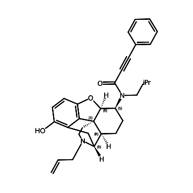 C=CCN1CC[C@@]23c4c5ccc(O)c4C[C@@H]1[C@@H]2CC[C@H](N(CC(C)C)C(=O)C#Cc1ccccc1)[C@@H]3O5